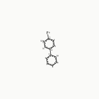 Fc1ccc(-c2c[c]ccc2)cn1